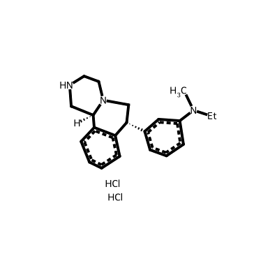 CCN(C)c1cccc([C@H]2CN3CCNC[C@@H]3c3ccccc32)c1.Cl.Cl